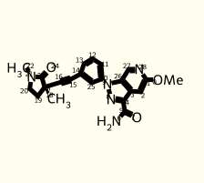 COc1cc2c(C(N)=O)nn(-c3cccc(C#C[C@]4(C)CCN(C)C4=O)c3)c2cn1